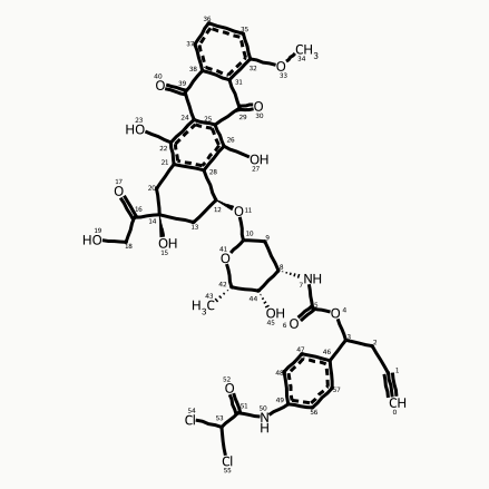 C#CCC(OC(=O)N[C@H]1CC(O[C@H]2C[C@](O)(C(=O)CO)Cc3c(O)c4c(c(O)c32)C(=O)c2c(OC)cccc2C4=O)O[C@@H](C)[C@H]1O)c1ccc(NC(=O)C(Cl)Cl)cc1